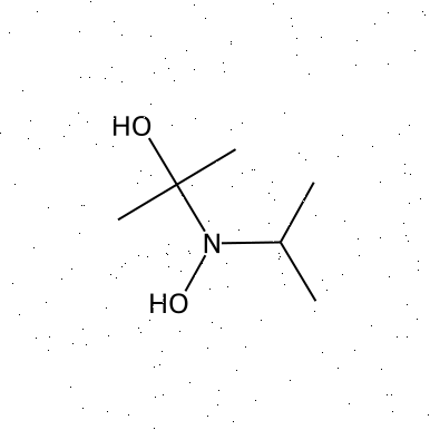 CC(C)N(O)C(C)(C)O